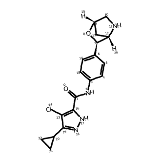 O=C(Nc1ccc([C@H]2O[C@@H]3CN[C@H]2C3)cc1)c1[nH]nc(C2CC2)c1Cl